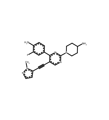 Cn1nccc1C#Cc1cnc(N2CCC(N)CC2)nc1-c1ccc(N)c(F)c1